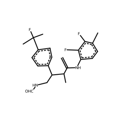 C=C(Nc1ccc(C)c(F)c1F)C(C)C(CNC=O)c1ccc(C(C)(C)F)cc1